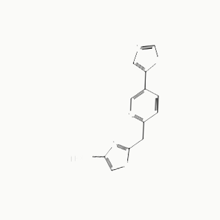 O=C(O)c1coc(Cc2ccc(-c3cncs3)cn2)n1